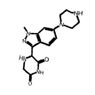 Cn1nc(C2NCC(=O)NC2=O)c2ccc(N3CCNCC3)cc21